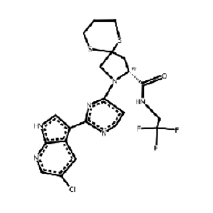 O=C(NCC(F)(F)F)[C@H]1CC2(CN1c1ccnc(-c3c[nH]c4ncc(Cl)cc34)n1)SCCCS2